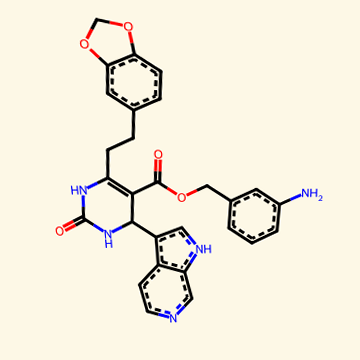 Nc1cccc(COC(=O)C2=C(CCc3ccc4c(c3)OCO4)NC(=O)NC2c2c[nH]c3cnccc23)c1